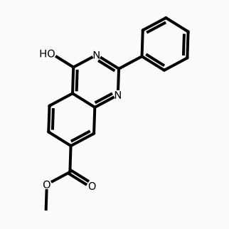 COC(=O)c1ccc2c(O)nc(-c3ccccc3)nc2c1